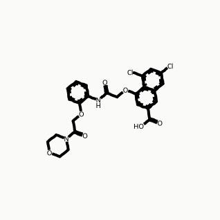 O=C(COc1cc(C(=O)O)cc2cc(Cl)cc(Cl)c12)Nc1ccccc1OCC(=O)N1CCOCC1